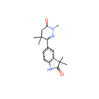 CN1N=C(c2ccc3c(c2)C(C)(C)C(=O)N3)C(C)(C)CC1=O